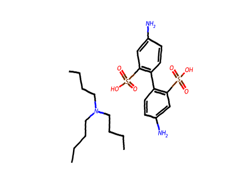 CCCCN(CCCC)CCCC.Nc1ccc(-c2ccc(N)cc2S(=O)(=O)O)c(S(=O)(=O)O)c1